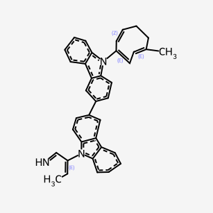 C/C=C(\C=N)n1c2ccccc2c2cc(-c3ccc4c(c3)c3ccccc3n4C3=C/C=C(\C)CC/C=C\3)ccc21